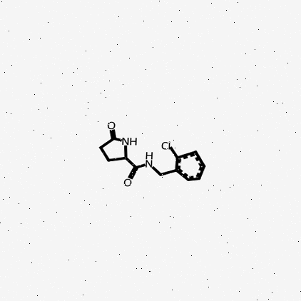 O=C1CCC(C(=O)NCc2ccccc2Cl)N1